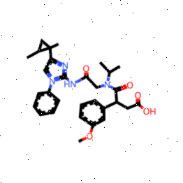 COc1cccc(C(CC(=O)O)C(=O)N(CC(=O)Nc2nc(C3(C)CC3C)cn2-c2ccccc2)C(C)C)c1